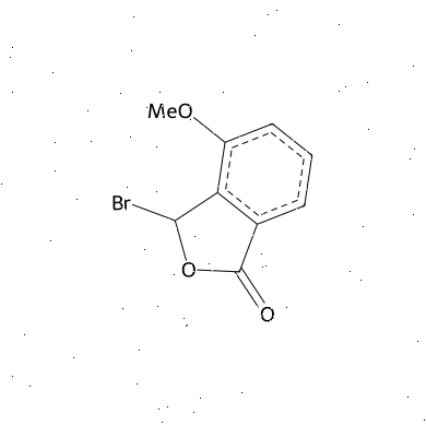 COc1cccc2c1C(Br)OC2=O